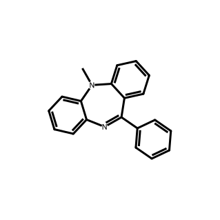 CN1c2ccccc2N=C(c2ccccc2)c2ccccc21